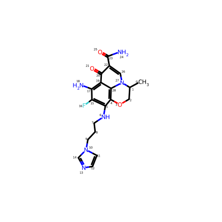 CC1COc2c(NCCCn3ccnc3)c(F)c(N)c3c(=O)c(C(N)=O)cn1c23